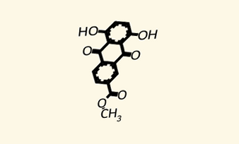 COC(=O)c1ccc2c(c1)C(=O)c1c(O)ccc(O)c1C2=O